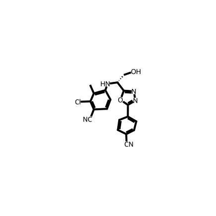 Cc1c(N[C@H](CO)c2nnc(-c3ccc(C#N)cc3)o2)ccc(C#N)c1Cl